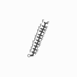 O=[C]C(F)(F)C(F)(F)C(F)(F)C(F)(F)C(F)(F)C(F)(F)C(F)(F)C(F)(F)C(F)(F)C(F)(F)C(F)F